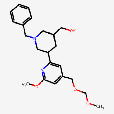 COCOCc1cc(OC)nc(C2CC(CO)CN(Cc3ccccc3)C2)c1